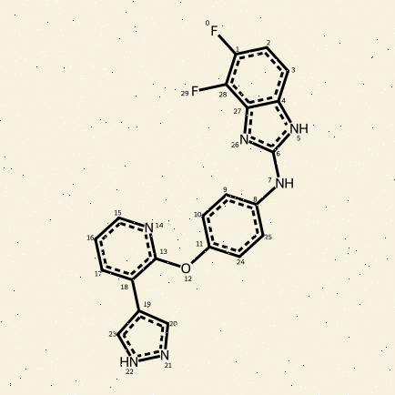 Fc1ccc2[nH]c(Nc3ccc(Oc4ncccc4-c4cn[nH]c4)cc3)nc2c1F